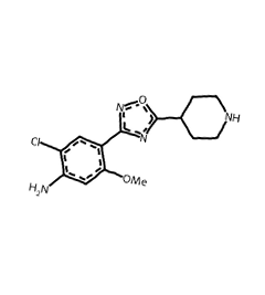 COc1cc(N)c(Cl)cc1-c1noc(C2CCNCC2)n1